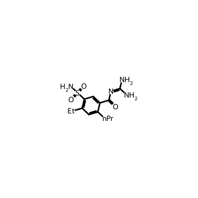 CCCc1cc(CC)c(S(N)(=O)=O)cc1C(=O)N=C(N)N